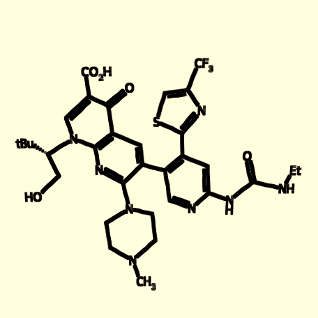 CCNC(=O)Nc1cc(-c2nc(C(F)(F)F)cs2)c(-c2cc3c(=O)c(C(=O)O)cn([C@H](CO)C(C)(C)C)c3nc2N2CCN(C)CC2)cn1